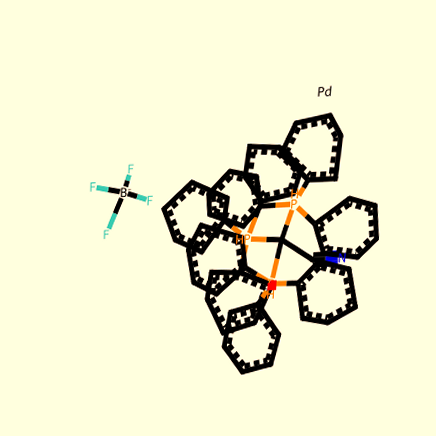 F[B-](F)(F)F.N#CC([PH](c1ccccc1)(c1ccccc1)c1ccccc1)([PH](c1ccccc1)(c1ccccc1)c1ccccc1)[PH](c1ccccc1)(c1ccccc1)c1ccccc1.[Pd]